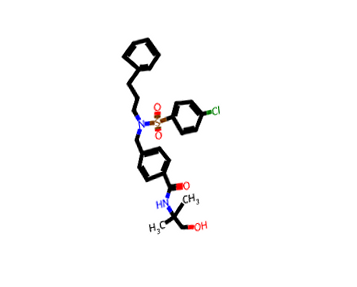 CC(C)(CO)NC(=O)c1ccc(CN(CCCc2ccccc2)S(=O)(=O)c2ccc(Cl)cc2)cc1